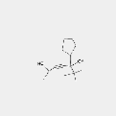 CC(O)C#CC(O)(C1CCCC1)C(C)(C)C